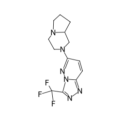 FC(F)(F)c1nnc2ccc(N3CCN4CCCC4C3)nn12